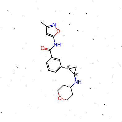 Cc1cc(NC(=O)c2cccc([C@@H]3C[C@H]3NC3CCOCC3)c2)on1